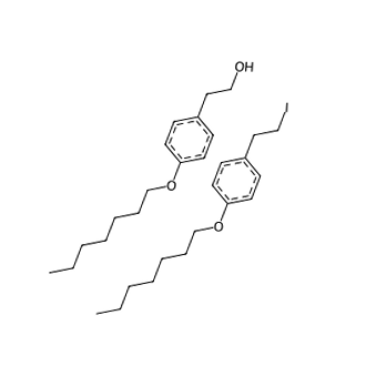 CCCCCCCOc1ccc(CCI)cc1.CCCCCCCOc1ccc(CCO)cc1